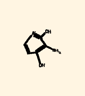 Bc1c(O)ccnc1O